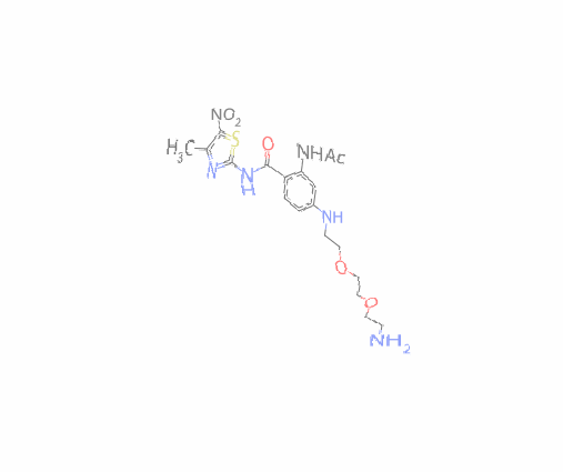 CC(=O)Nc1cc(NCCOCCOCCN)ccc1C(=O)Nc1nc(C)c([N+](=O)[O-])s1